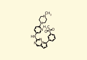 CN1CCN(c2ccc(Nc3ncc4ccc(-c5cccc(S(C)(=O)=O)c5)n4n3)cn2)CC1